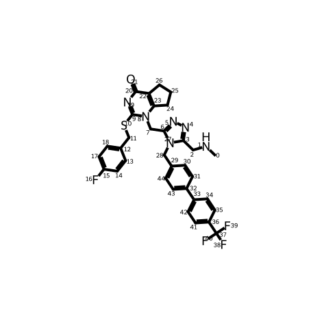 CNCc1nnc(Cn2c(SCc3ccc(F)cc3)nc(=O)c3c2CCC3)n1Cc1ccc(-c2ccc(C(F)(F)F)cc2)cc1